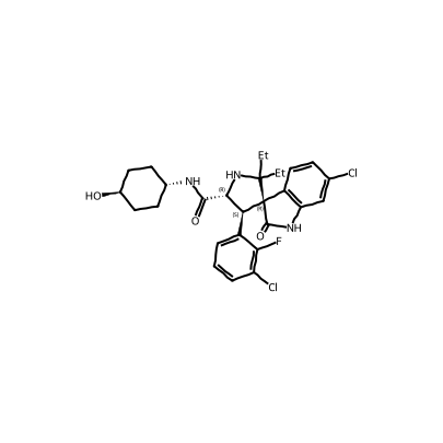 CCC1(CC)N[C@@H](C(=O)N[C@H]2CC[C@H](O)CC2)[C@H](c2cccc(Cl)c2F)[C@]12C(=O)Nc1cc(Cl)ccc12